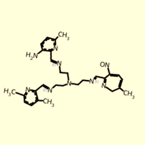 CC1=CC=C(N=O)C(/C=N/CCN(CC/N=C/c2nc(C)ccc2C)CC/N=C/c2nc(C)ccc2N)=NC1